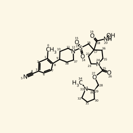 Cc1cc(C#N)ccc1C1CCN(S(=O)(=O)CC2(C(=O)NO)CCN(C(=O)OC[C@H]3CCCN3C)CC2)CC1